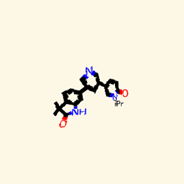 CC(C)n1cc(-c2cncc(-c3ccc4c(c3)NC(=O)C4(C)C)c2)ccc1=O